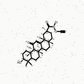 C#CON(CC)C(=O)[C@@]1(C)CC[C@]2(C)CC[C@]3(C)C(=CC(=O)[C@@H]4[C@@]5(C)CC[C@H](O)C(C)(C)C5CC[C@]43C)[C@@H]2C1